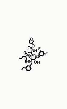 CCCC(CCC)S(=O)(=O)C[C@@H](NC(=O)O[C@H]1CCOC1)C(=O)N[C@@H](Cc1cc(F)cc(F)c1)[C@H](O)CNCc1cccc(CC)c1